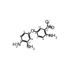 Nc1ccc(Oc2ccc(N)c([N+](=O)[O-])c2)cc1N